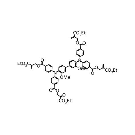 C=C(COC(=O)c1ccc(N(c2ccc(C(=O)OCC(=C)C(=O)OCC)cc2)c2ccc(-c3ccc(N(c4ccc(C(=O)OCC(=C)C(=O)OCC)cc4)c4ccc(C(=O)OCC(=O)C(=O)OCC)cc4)c(OC)c3)cc2OC)cc1)C(=O)OCC